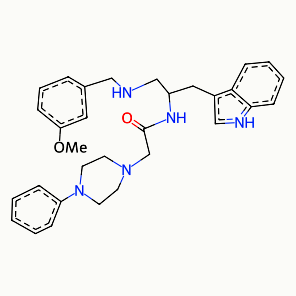 COc1cccc(CNCC(Cc2c[nH]c3ccccc23)NC(=O)CN2CCN(c3ccccc3)CC2)c1